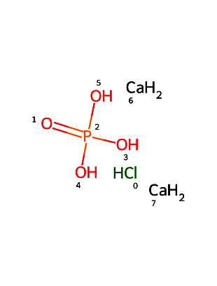 Cl.O=P(O)(O)O.[CaH2].[CaH2]